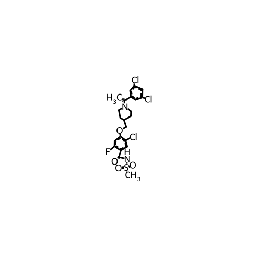 C[C@@H](c1cc(Cl)cc(Cl)c1)N1CCC(COc2cc(F)c(C(=O)NS(C)(=O)=O)cc2Cl)CC1